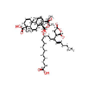 CCC/C=C/C(CCC(CCCCCCCCC(=O)O)OCC1C(C(C)C)C2CC3C4(C)CCCC(C)(C(=O)O)C4CCC13C1C(=O)OC(=O)C21)C1CC(=O)OC1=O